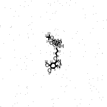 COc1cc2ncnc(OCCCCNS(=O)(=O)NC(=O)OC(C)(C)C)c2cc1OC